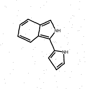 c1c[nH]c(-c2[nH]cc3ccccc23)c1